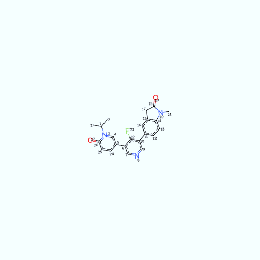 CC(C)n1cc(-c2cncc(-c3ccc4c(c3)CC(=O)N4C)c2F)ccc1=O